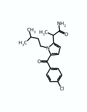 CC(C)CCn1c(C(=O)c2ccc(Cl)cc2)ccc1C(C)C(N)=O